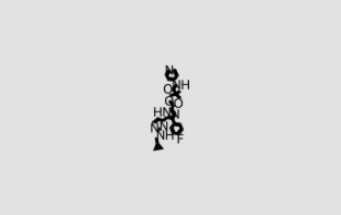 CC1(C(=O)Nc2ccncc2)COC(c2nc(-c3ccc(F)cc3)c(-c3ccnc(NCC4CC4)n3)[nH]2)OC1